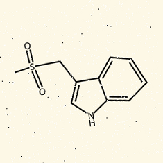 CS(=O)(=O)Cc1c[nH]c2ccccc12